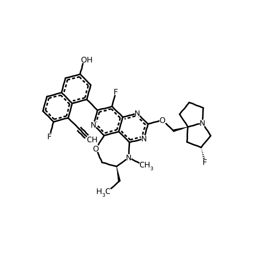 C#Cc1c(F)ccc2cc(O)cc(-c3nc4c5c(nc(OC[C@@]67CCCN6C[C@H](F)C7)nc5c3F)N(C)[C@@H](CC)CO4)c12